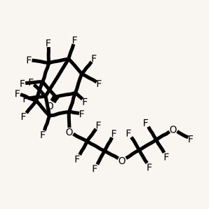 O=C1C2(F)C(F)(F)C3(F)C(F)(F)C1(F)C(F)(OC(F)(F)C(F)(F)OC(F)(F)C(F)(F)OF)C(F)(C2(F)F)C3(F)F